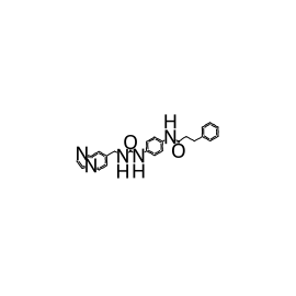 O=C(CCc1ccccc1)Nc1ccc(NC(=O)NCc2ccn3ccnc3c2)cc1